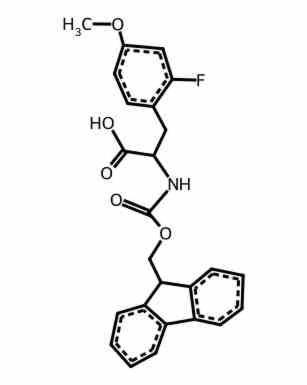 COc1ccc(CC(NC(=O)OCC2c3ccccc3-c3ccccc32)C(=O)O)c(F)c1